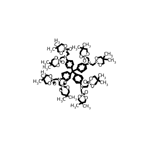 CC1(C)COP(CN(CP2(=O)OCC(C)(C)CO2)c2ccc(C(c3ccc(N(CP4(=O)OCC(C)(C)CO4)CP4(=O)OCC(C)(C)CO4)cc3)(c3ccc(N(CP4(=O)OCC(C)(C)CO4)CP4(=O)OCC(C)(C)CO4)cc3)c3ccc(N(CP4(=O)OCC(C)(C)CO4)CP4(=O)OCC(C)(C)CO4)cc3)cc2)OC1